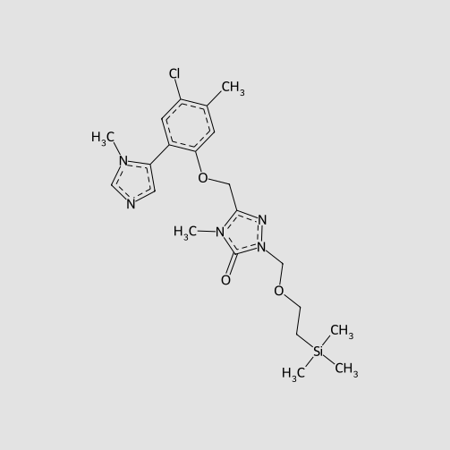 Cc1cc(OCc2nn(COCC[Si](C)(C)C)c(=O)n2C)c(-c2cncn2C)cc1Cl